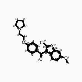 COc1ccc2c(C(=O)c3ccc(OCCN4CCCC4)cc3)c(Cl)sc2c1